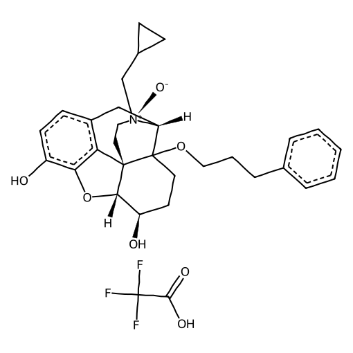 O=C(O)C(F)(F)F.[O-][N@+]1(CC2CC2)CC[C@]23c4c5ccc(O)c4O[C@H]2[C@H](O)CCC3(OCCCc2ccccc2)[C@H]1C5